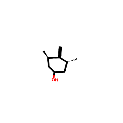 C=C1[C@H](C)CC(O)C[C@H]1C